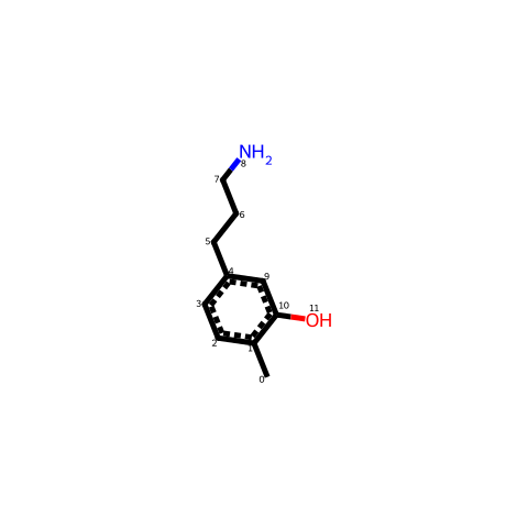 Cc1ccc(CCCN)cc1O